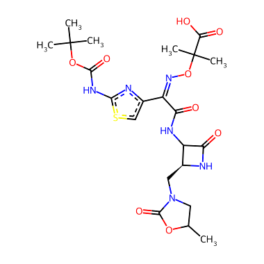 CC1CN(C[C@@H]2NC(=O)C2NC(=O)/C(=N\OC(C)(C)C(=O)O)c2csc(NC(=O)OC(C)(C)C)n2)C(=O)O1